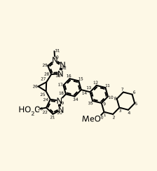 COC(CC1CCCCC1)c1cccc(-c2cccc(-n3ncc(C(=O)O)c3C3CC3c3cn(C)nn3)c2)c1